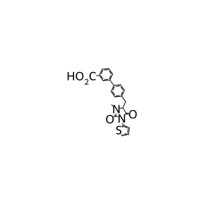 CN1C(=O)N(c2cccs2)C(=O)C1Cc1ccc(-c2cccc(C(=O)O)c2)cc1